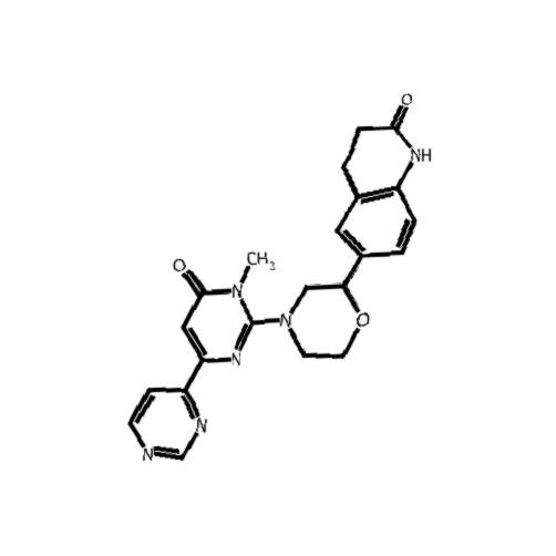 Cn1c(N2CCOC(c3ccc4c(c3)CCC(=O)N4)C2)nc(-c2ccncn2)cc1=O